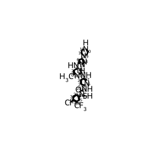 Cc1cc(Nc2cc(N3CCNCC3)n[nH]2)nc(Nc2ccc(NC(=O)N(S)c3ccc(Cl)c(C(F)(F)F)c3)nc2)n1